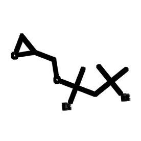 CCC(C)(C)CC(C)(CC)OCC1CO1